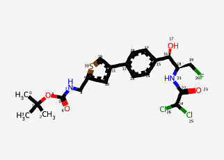 CC(C)(C)OC(=O)NCc1cc(-c2ccc([C@@H](O)[C@@H](CF)NC(=O)C(Cl)Cl)cc2)cs1